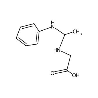 CC(NCC(=O)O)Nc1ccccc1